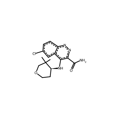 CC1(C)COCC[C@@H]1Nc1c(C(N)=O)nnc2ccc(Cl)cc12